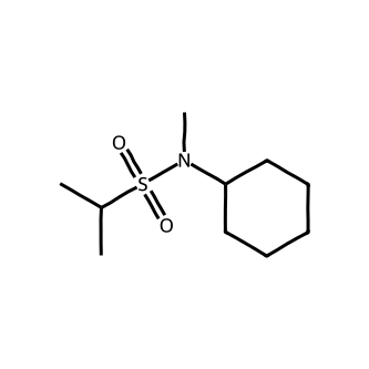 CC(C)S(=O)(=O)N(C)C1CCCCC1